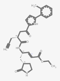 C#CC[C@H](CC(=O)c1ccc(-c2ccccc2C)[nH]1)C(=O)N[C@H](/C=C/C(=O)OCC)C[C@@H]1CCNC1=O